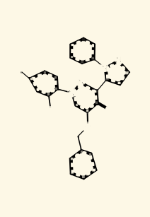 O=c1c(OCc2ccccc2)cn(-c2ccc(I)cc2F)nc1-c1ccnn1-c1ccccc1